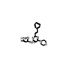 Cc1cc(Nc2cc(N3CCSCC3)nc(C=Cc3ccccc3)n2)n[nH]1